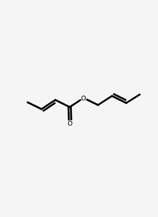 C/C=C/COC(=O)/C=C/C